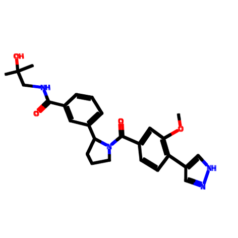 COc1cc(C(=O)N2CCCC2c2cccc(C(=O)NCC(C)(C)O)c2)ccc1-c1cn[nH]c1